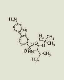 CC(C)[C@H](NS(=O)(=O)c1ccc2c(c1)sc1cc(N)ccc12)C(=O)OC(C)(C)C